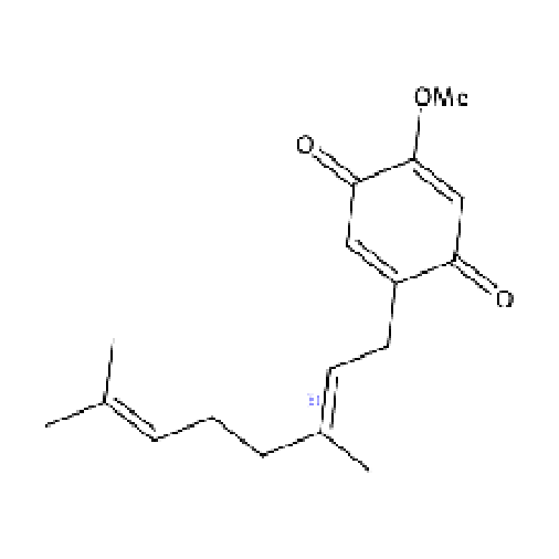 COC1=CC(=O)C(C/C=C(\C)CCC=C(C)C)=CC1=O